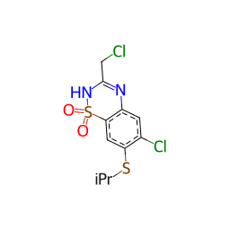 CC(C)Sc1cc2c(cc1Cl)N=C(CCl)NS2(=O)=O